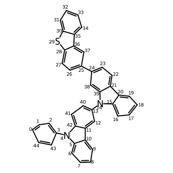 c1ccc(-n2c3ccccc3c3cc(-n4c5ccccc5c5ccc(-c6ccc7sc8ccccc8c7c6)cc54)ccc32)cc1